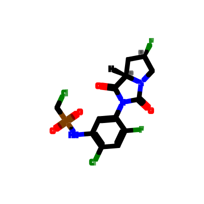 O=C1[C@@H]2C[C@@H](F)CN2C(=O)N1c1cc(NS(=O)(=O)CCl)c(Cl)cc1F